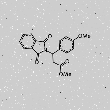 COC(=O)CC(c1ccc(OC)cc1)N1C(=O)c2ccccc2C1=O